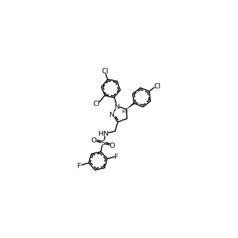 O=S(=O)(NCC1=NN(c2ccc(Cl)cc2Cl)[C@@H](c2ccc(Cl)cc2)C1)c1cc(F)ccc1F